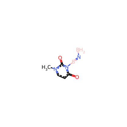 BN=Bn1c(=O)ccn(C)c1=O